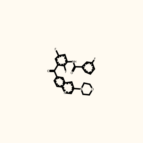 O=C(Nc1cc(F)cc(C(=O)c2ccc3ncc(N4CCOCC4)cc3c2)c1F)c1cccc(F)c1